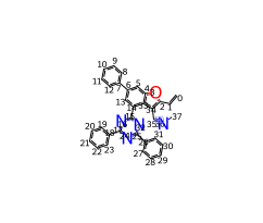 C=Cc1oc2cc(-c3ccccc3)cc(-c3nc(-c4ccccc4)nc(-c4ccccc4)n3)c2c1/C=N\C